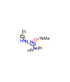 CCCN(CCC)c1cc(/C=N/Nc2ccc(CC)s2)nc(OCCNC)n1